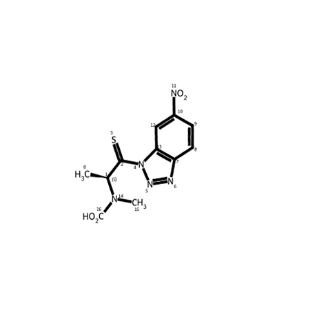 C[C@@H](C(=S)n1nnc2ccc([N+](=O)[O-])cc21)N(C)C(=O)O